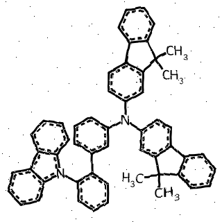 CC1(C)c2ccccc2-c2ccc(N(c3cccc(-c4ccccc4-n4c5ccccc5c5ccccc54)c3)c3ccc4c(c3)C(C)(C)c3ccccc3-4)cc21